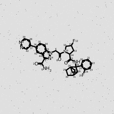 NC(=O)c1nn(CC(=O)N2CC(F)CC2C(=O)NC2(c3ccccc3F)C3CC24CCC3C4)c2ccc(-c3ccnnc3)cc12